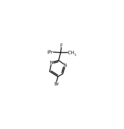 CC(C)C(C)(F)c1ncc(Br)cn1